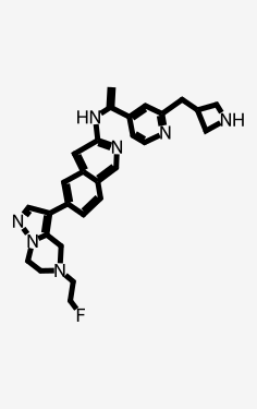 C=C(Nc1cc2cc(-c3cnn4c3CN(CCF)CC4)ccc2cn1)c1ccnc(CC2CNC2)c1